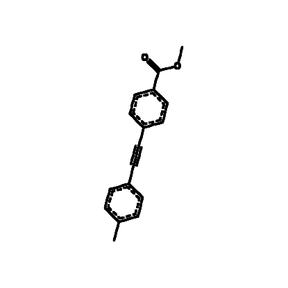 COC(=O)c1ccc(C#Cc2ccc(C)cc2)cc1